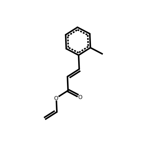 C=COC(=O)C=Cc1ccccc1C